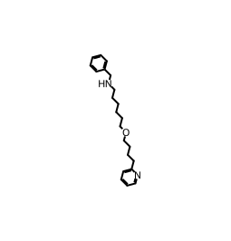 c1ccc(CNCCCCCCOCCCCc2ccccn2)cc1